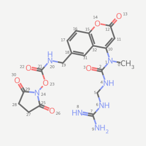 CN(C(=O)NCNC(=N)N)c1cc(=O)oc2ccc(CNC(=O)ON3C(=O)CCC3=O)cc12